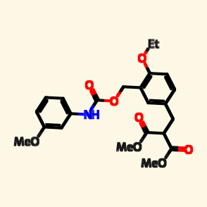 CCOc1ccc(CC(C(=O)OC)C(=O)OC)cc1COC(=O)Nc1cccc(OC)c1